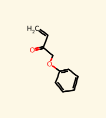 C=CC(=O)COc1ccccc1